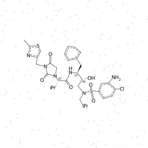 Cc1nc(CN2C(=O)CN([C@H](C(=O)N[C@@H](Cc3ccccc3)[C@H](O)CN(CC(C)C)S(=O)(=O)c3ccc(Cl)c(N)c3)C(C)C)C2=O)cs1